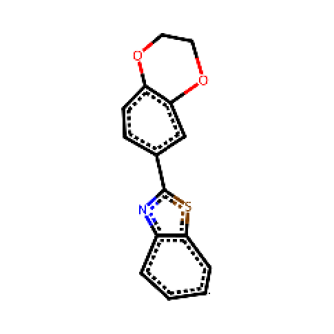 [c]1ccc2nc(-c3ccc4c(c3)OCCO4)sc2c1